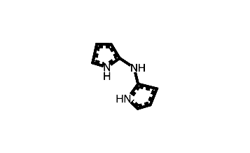 c1c[nH]c(Nc2ccc[nH]2)c1